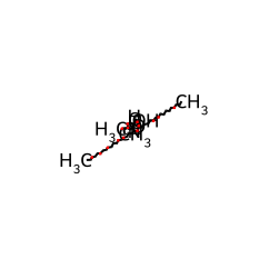 CC(C)c1ccc(S(=O)(=O)O)cc1.CCCCCCCCCCCCCCCCCCNCCCCCCCCCCCCCCCCCC